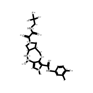 Cc1cc(NC(=O)c2c3c(cn2C)[S+]([O-])NC2CN(C(=O)C(=O)NCC(F)(F)F)CC2CS3)ccc1F